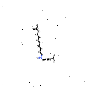 CC(C)C#CCN(C)CCCCCCCCCC(C)C